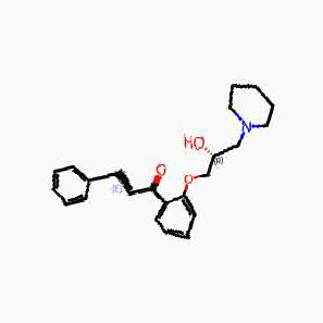 O=C(/C=C/c1ccccc1)c1ccccc1OC[C@H](O)CN1CCCCC1